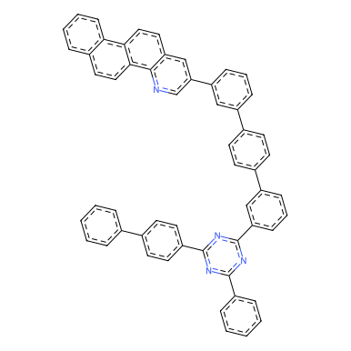 c1ccc(-c2ccc(-c3nc(-c4ccccc4)nc(-c4cccc(-c5ccc(-c6cccc(-c7cnc8c(ccc9c%10ccccc%10ccc98)c7)c6)cc5)c4)n3)cc2)cc1